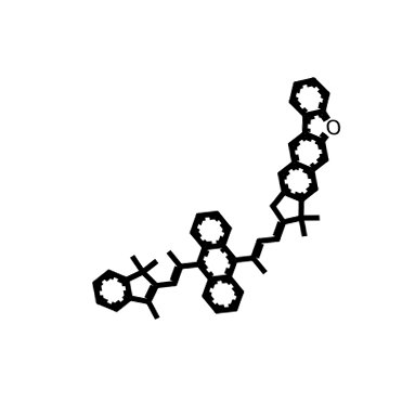 CC1=C(/C=C(\C)c2c3ccccc3c(/C(C)=C/C=C3\Cc4cc5cc6c(cc5cc4C3(C)C)oc3ccccc36)c3ccccc23)C(C)(C)c2ccccc21